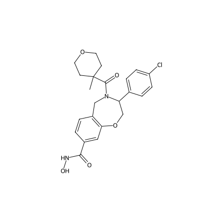 CC1(C(=O)N2Cc3ccc(C(=O)NO)cc3OCC2c2ccc(Cl)cc2)CCOCC1